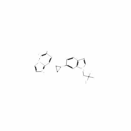 FC(F)(F)Cn1ccc2ccc([C@H]3C[C@@H]3c3cc(Cl)nn4ccnc34)cc21